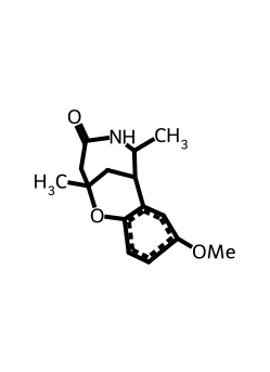 COc1ccc2c(c1)C1CC(C)(CC(=O)NC1C)O2